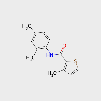 Cc1ccc(NC(=O)c2sccc2C)c(C)c1